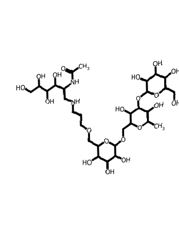 CC(=O)NC(CNCCCOCC1OC(OCC2OC(C)C(O)C(OC3OC(CO)C(O)C(O)C3O)C2O)C(O)C(O)C1O)C(O)C(O)C(O)CO